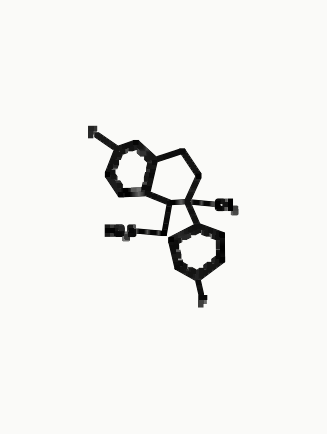 CC1(c2ccc(F)cc2)CCc2cc(F)ccc2C1CS(=O)(=O)O